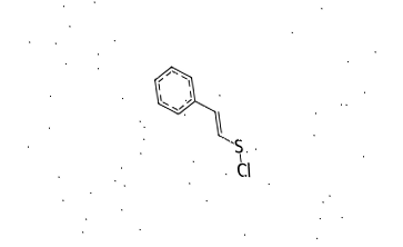 ClSC=Cc1ccccc1